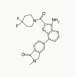 CN1Cc2cc(-c3cccc4c(N)c(C(=O)N5CCC(F)(F)CC5)sc34)ccc2C1=O